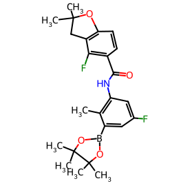 Cc1c(NC(=O)c2ccc3c(c2F)CC(C)(C)O3)cc(F)cc1B1OC(C)(C)C(C)(C)O1